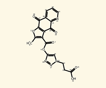 Cc1oc2c(c1C(=O)Oc1cn(CCC(=O)O)nn1)C(=O)c1ncccc1C2=O